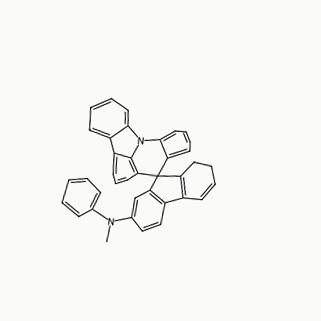 CN(c1ccccc1)c1ccc2c(c1)C1(C3=C2C=CCC3)c2ccccc2-n2c3ccccc3c3cccc1c32